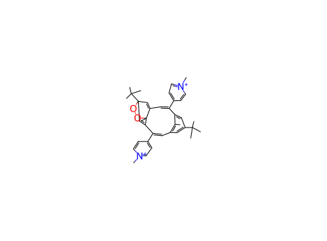 Cc1c2cc(C(C)(C)C)cc1/C(c1cc[n+](C)cc1)=C\C1=CC3(C(C)(C)C)C=C(/C(c4cc[n+](C)cc4)=C\2)C1(C)OO3